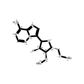 CCCCOC[C@H]1OC(c2cnc3c(N)ncnn23)[C@H](F)[C@@H]1OCCCC